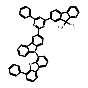 CC1(C)c2ccccc2-c2ccc(-c3nc(-c4ccccc4)nc(-c4ccc5c(c4)c4ccccc4n5-c4cccc5c4oc4c(-c6ccccc6)cccc45)n3)cc21